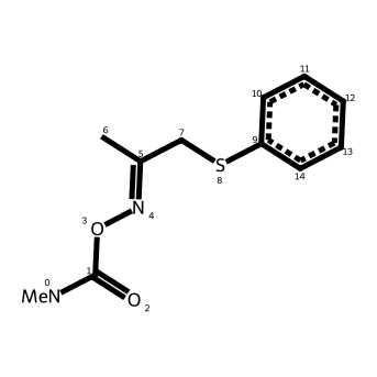 CNC(=O)ON=C(C)CSc1ccccc1